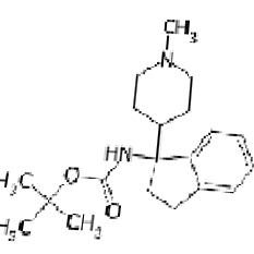 CN1CCC(C2(NC(=O)OC(C)(C)C)CCc3ccccc32)CC1